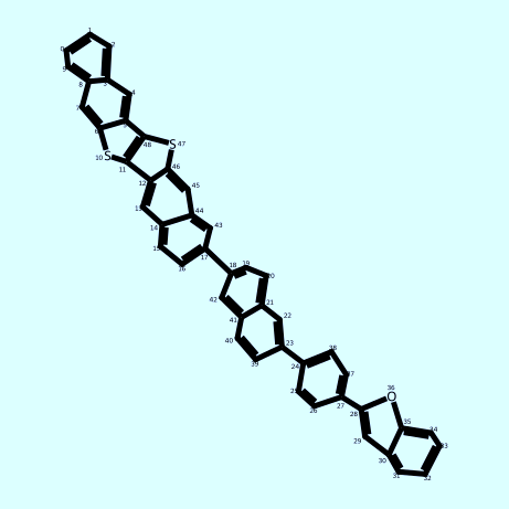 c1ccc2cc3c(cc2c1)sc1c2cc4ccc(-c5ccc6cc(-c7ccc(-c8cc9ccccc9o8)cc7)ccc6c5)cc4cc2sc31